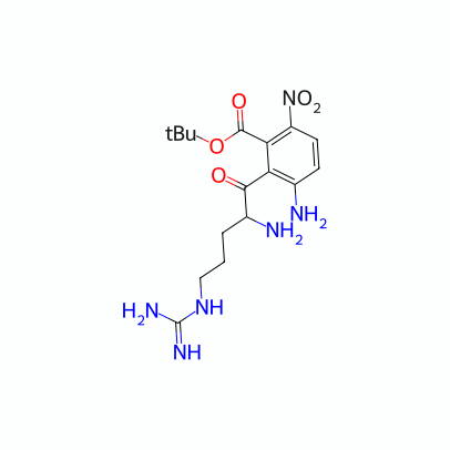 CC(C)(C)OC(=O)c1c([N+](=O)[O-])ccc(N)c1C(=O)C(N)CCCNC(=N)N